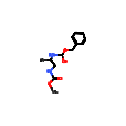 CC(C)[C@H](CNC(=O)OC(C)(C)C)N[C@H](O)OCc1ccccc1